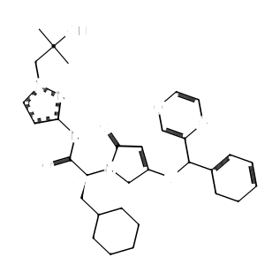 CC(C)(O)Cn1ccc(NC(=O)[C@H](CC2CCCCC2)N2CC(OC(C3=CC=CCC3)C3=COC=CO3)=CC2=O)n1